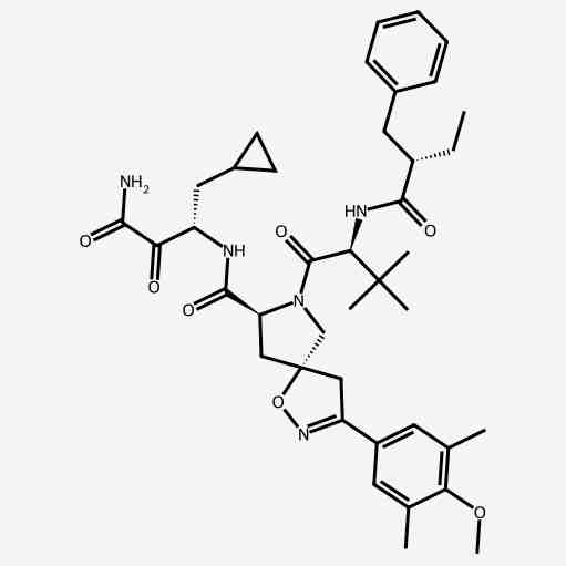 CC[C@@H](Cc1ccccc1)C(=O)N[C@H](C(=O)N1C[C@@]2(CC(c3cc(C)c(OC)c(C)c3)=NO2)C[C@H]1C(=O)N[C@@H](CC1CC1)C(=O)C(N)=O)C(C)(C)C